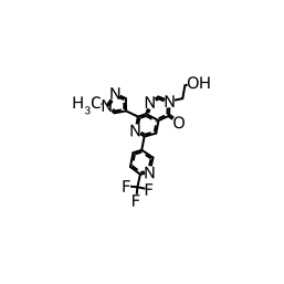 Cn1cc(-c2nc(-c3ccc(C(F)(F)F)nc3)cc3c(=O)n(CCO)cnc23)cn1